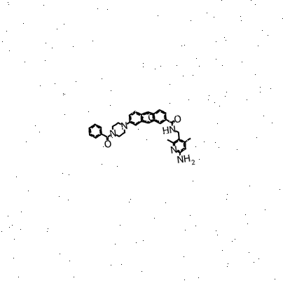 Cc1cc(N)nc(C)c1CNC(=O)c1ccc2c(c1)c1oc2c2ccc(N3CCN(C(=O)c4ccccc4)CC3)cc21